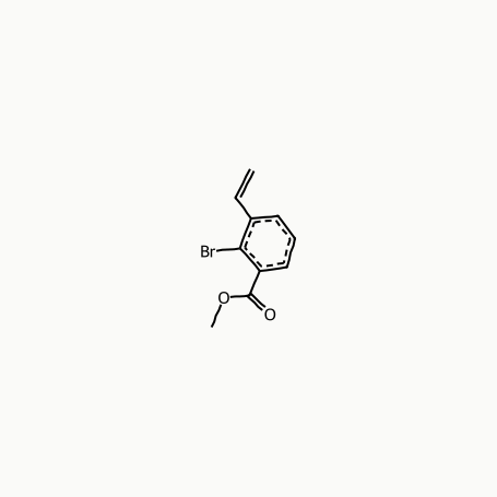 C=Cc1cccc(C(=O)OC)c1Br